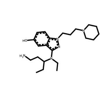 CCC(CCN)N(CC)c1nn(CCCN2CCCCC2)c2ccc(O)cc12